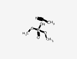 CC#N.COP(=O)(O)OC